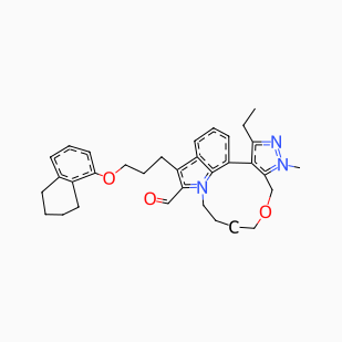 CCc1nn(C)c2c1-c1cccc3c(CCCOc4cccc5c4CCCC5)c(C=O)n(c13)CCCCOC2